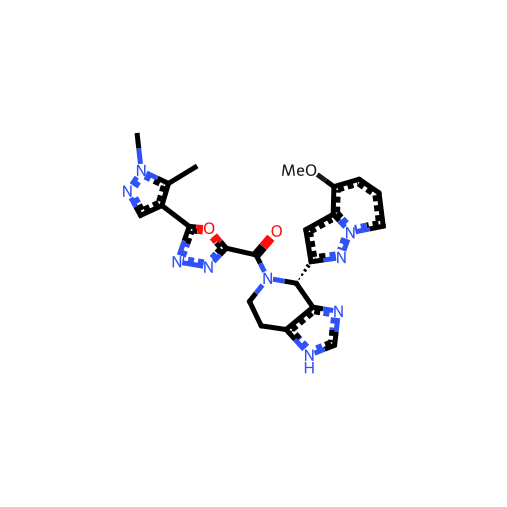 COc1cccn2nc([C@@H]3c4nc[nH]c4CCN3C(=O)c3nnc(-c4cnn(C)c4C)o3)cc12